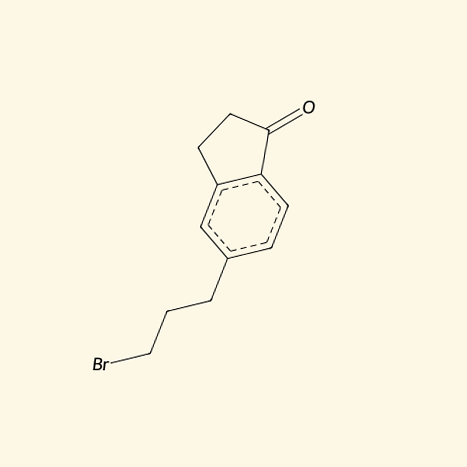 O=C1CCc2cc(CCCBr)ccc21